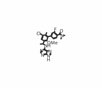 COc1c(C(C)Nc2ncnc3[nH]cnc23)cc(Cl)c(C)c1-c1ccc(C(=O)N(C)C)c(F)c1